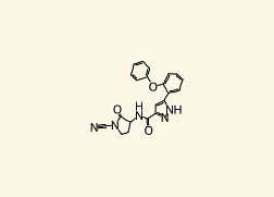 N#CN1CCC(NC(=O)c2cc(-c3ccccc3Oc3ccccc3)[nH]n2)C1=O